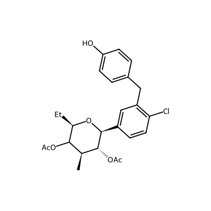 CC[C@H]1O[C@@H](c2ccc(Cl)c(Cc3ccc(O)cc3)c2)[C@H](OC(C)=O)[C@@H](C)C1OC(C)=O